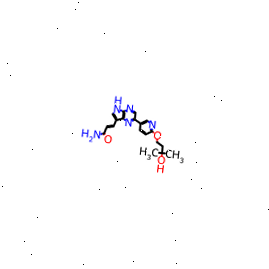 CC(C)(O)CCOc1ccc(-c2cnc3[nH]cc(C=CC(N)=O)c3n2)cn1